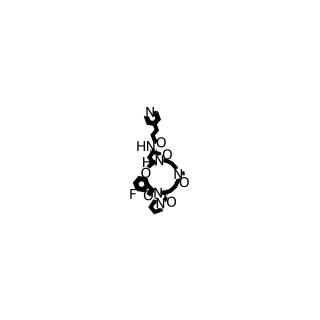 CN1CCC(=O)N2C[C@H](NC(=O)CCc3ccncc3)C[C@H]2COc2ccc(F)cc2C(=O)N(C)[C@H](C(=O)N2CCCC2)CCC1=O